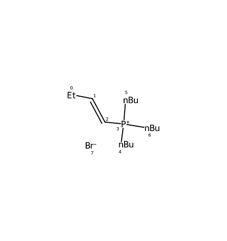 CCC=C[P+](CCCC)(CCCC)CCCC.[Br-]